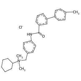 Cc1ccc(-c2cccc(C(=O)Nc3ccc(C[N+](C)(C)C4CCCCC4)cc3)c2)cc1.[Cl-]